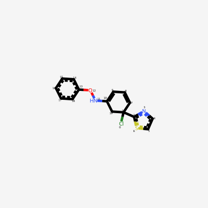 ClC1(c2nccs2)C=CC=C(NOc2ccccc2)C1